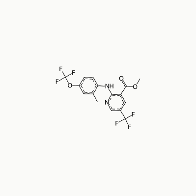 COC(=O)c1cc(C(F)(F)F)cnc1Nc1ccc(OC(F)(F)F)cc1C